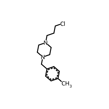 Cc1ccc(CN2CCN(CCCCl)CC2)cc1